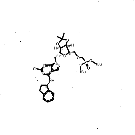 CC(C)(C)OP(=O)(COC[C@H]1O[C@H](Cn2ncc3c(N[C@@H]4CCc5ccccc54)nc(Cl)nc32)[C@@H]2OC(C)(C)O[C@@H]21)OC(C)(C)C